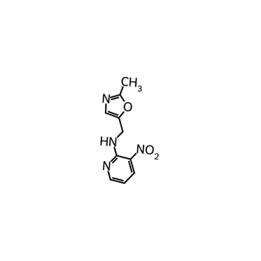 Cc1ncc(CNc2ncccc2[N+](=O)[O-])o1